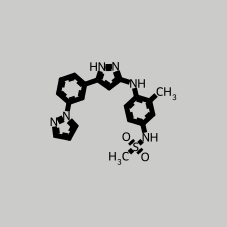 Cc1cc(NS(C)(=O)=O)ccc1Nc1cc(-c2cccc(-n3cccn3)c2)[nH]n1